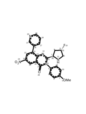 COc1ccc(-n2c([C@H]3C[C@H](F)CN3)nc3c(-c4cccnc4)cc([N+](=O)[O-])cc3c2=O)cc1